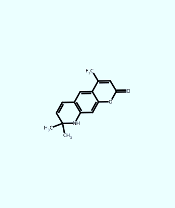 CC1(C)C=Cc2cc3c(C(F)(F)F)cc(=O)oc3cc2N1